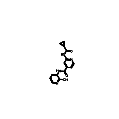 O=C(Nc1cccnc1O)c1ccnc(NC(=O)C2CC2)c1